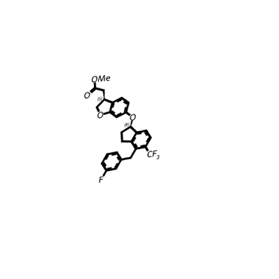 COC(=O)C[C@@H]1COc2cc(O[C@@H]3CCc4c3ccc(C(F)(F)F)c4Cc3cccc(F)c3)ccc21